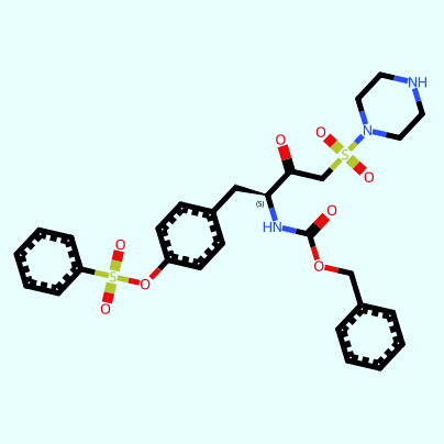 O=C(N[C@@H](Cc1ccc(OS(=O)(=O)c2ccccc2)cc1)C(=O)CS(=O)(=O)N1CCNCC1)OCc1ccccc1